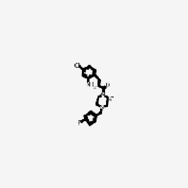 C[C@@H]1CN(Cc2ccc(F)cc2)CCN1C(=O)C=Cc1ccc(Cl)cc1N